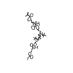 C=C(C)C(=O)OCCNC(=O)OCCN(SSN(CCOC(=O)NCCOC(=O)CC)C(C)(C)C)C(C)(C)C